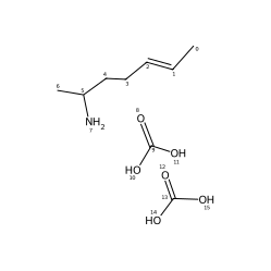 C/C=C/CCC(C)N.O=C(O)O.O=C(O)O